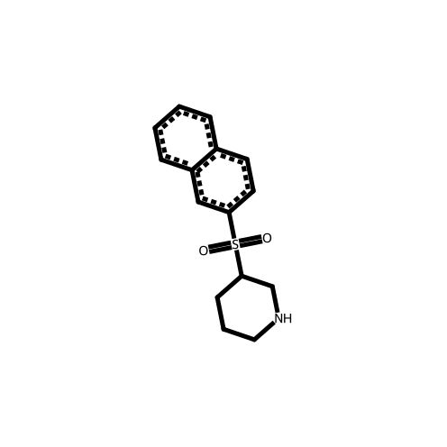 O=S(=O)(c1ccc2ccccc2c1)C1CCCNC1